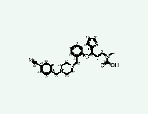 CN(CCC(Oc1ccccc1CN1CCN(Cc2ccc(C#N)cc2)CC1)c1cccs1)C(=O)O